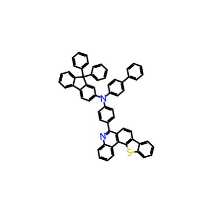 c1ccc(-c2ccc(N(c3ccc(-c4nc5ccccc5c5c4ccc4c6ccccc6sc45)cc3)c3ccc4c(c3)C(c3ccccc3)(c3ccccc3)c3ccccc3-4)cc2)cc1